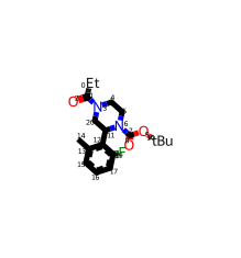 CCC(=O)N1CCN(C(=O)OC(C)(C)C)C(c2c(C)cccc2F)C1